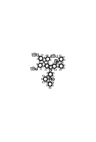 CC(C)(C)c1ccc(C(c2ccc(C(C)(C)C)cc2)(c2ccc(C(C)(C)C)cc2)c2ccc3c(c2)c2cc(P(=O)(c4ccccc4)c4ccccc4)ccc2n3-c2ccc(P(=O)(c3ccccc3)c3ccccc3)cc2)cc1